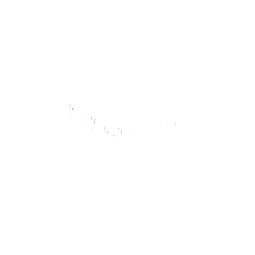 O=C(O)CCCC1CCN(C(=O)N2CCN(C3CCNCC3)CC2)CC1